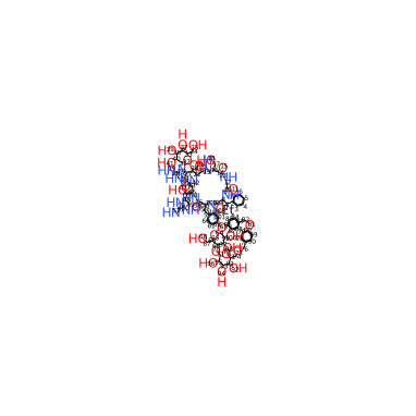 CCC(c1ccccc1)C1NC(=O)CNC(=O)C(CO)NC(=O)C(C(O)C2CNC(=N)N2C2OC(CO)C(O)C(O)C2O)NC(=O)C(C(O)C2CNC(=N)N2)NC(=O)C(Cc2ccc(OC3OC(CO)C(OC4OC(COCc5ccc(OCc6ccccc6)cc5)C(O)C(O)C4O)C(O)C3O)cc2)NC1=O